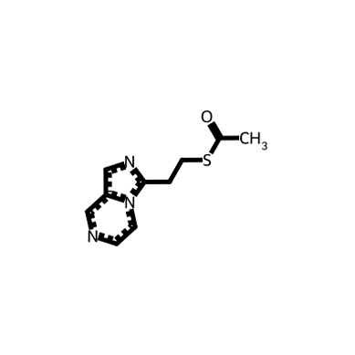 CC(=O)SCCc1ncc2cnccn12